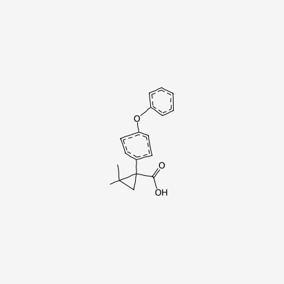 CC1(C)CC1(C(=O)O)c1ccc(Oc2ccccc2)cc1